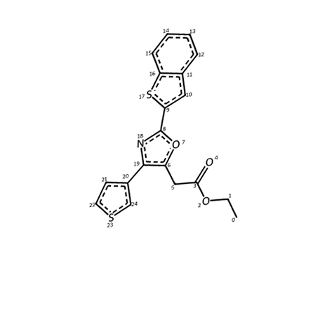 CCOC(=O)Cc1oc(-c2cc3ccccc3s2)nc1-c1ccsc1